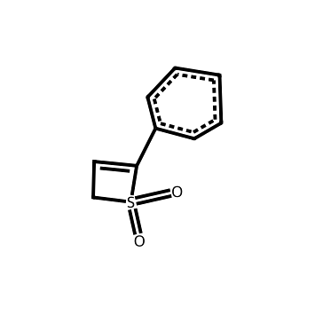 O=S1(=O)CC=C1c1ccccc1